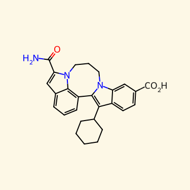 NC(=O)c1cc2cccc3c2n1CCCn1c-3c(C2CCCCC2)c2ccc(C(=O)O)cc21